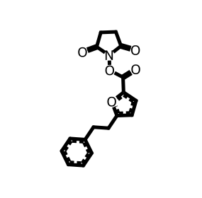 O=C(ON1C(=O)CCC1=O)c1ccc(CCc2ccccc2)o1